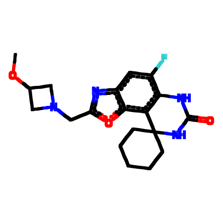 COC1CN(Cc2nc3cc(F)c4c(c3o2)C2(CCCCC2)NC(=O)N4)C1